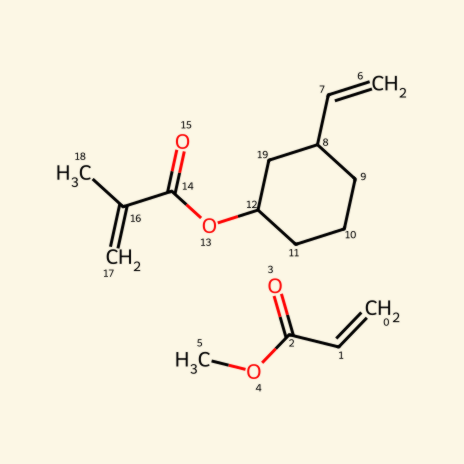 C=CC(=O)OC.C=CC1CCCC(OC(=O)C(=C)C)C1